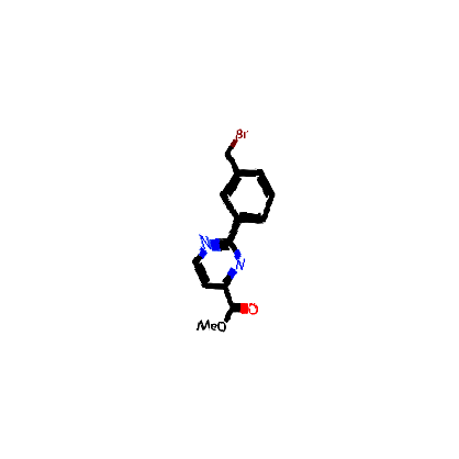 COC(=O)c1ccnc(-c2cccc(CBr)c2)n1